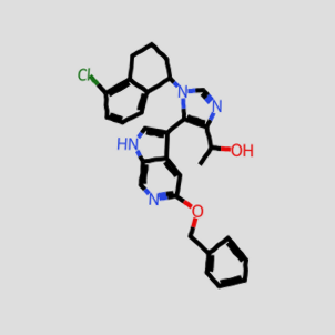 CC(O)c1ncn(C2CCCc3c(Cl)cccc32)c1-c1c[nH]c2cnc(OCc3ccccc3)cc12